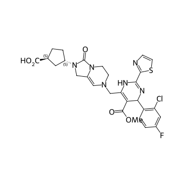 COC(=O)C1=C(CN2C=C3CN([C@H]4CC[C@H](C(=O)O)C4)C(=O)N3CC2)NC(c2nccs2)=NC1c1ccc(F)cc1Cl